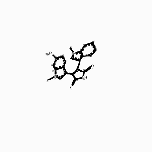 CSc1ccc2c(C3=C(c4cn(C)c5ccccc45)C(=O)NC3=O)cn(C)c2c1